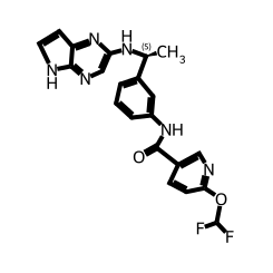 C[C@H](Nc1cnc2[nH]ccc2n1)c1cccc(NC(=O)c2ccc(OC(F)F)nc2)c1